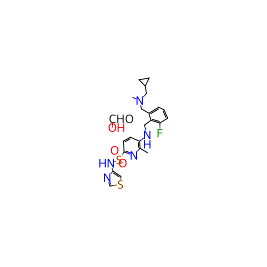 Cc1nc(S(=O)(=O)Nc2cscn2)ccc1NCc1c(F)cccc1CN(C)CC1CC1.O=CO